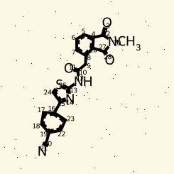 CN1C(=O)c2cccc(CC(=O)Nc3nc(-c4ccc(C#N)cc4)cs3)c2C1=O